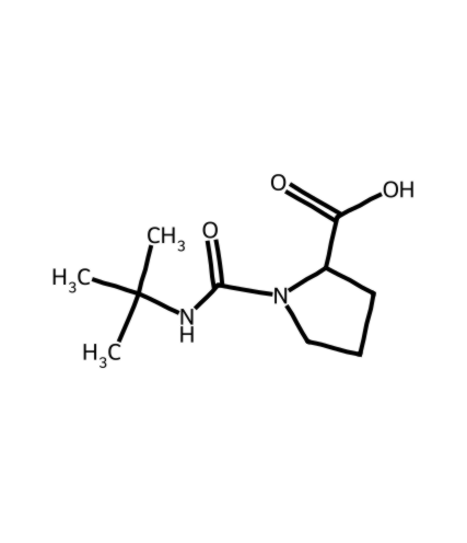 CC(C)(C)NC(=O)N1CCCC1C(=O)O